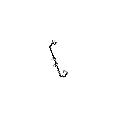 CC/C=C\C/C=C\C/C=C\CCCCCCCC(=O)OCCCOC(=O)CCCCCCC/C=C\C/C=C\C/C=C\CC